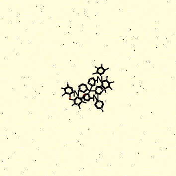 Cc1ccc(N2c3ccccc3C(c3cccc(N(c4cc(C)c(C)c(C)c4C)c4c(C)c(C)c(C)c(C)c4C)c3)(c3cccc(N(c4cc(C)c(C)c(C)c4C)c4c(C)c(C)c(C)c(C)c4C)c3)c3cc(C)ccc32)cc1